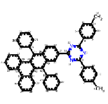 Cc1ccc(-c2nc(-c3ccc(C)cc3)nc(-c3ccc4c(-c5ccccc5)c5c6ccccc6c6ccccc6c5c(-c5ccccc5)c4c3)n2)cc1